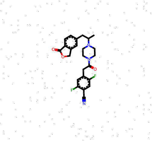 CC(Cc1ccc2c(c1)COC2=O)N1CCN(C(=O)Cc2cc(F)c(C#N)cc2F)CC1